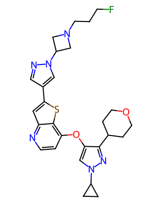 FCCCN1CC(n2cc(-c3cc4nccc(Oc5cn(C6CC6)nc5C5CCOCC5)c4s3)cn2)C1